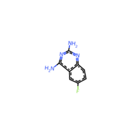 Nc1nc(N)c2cc(F)ccc2n1